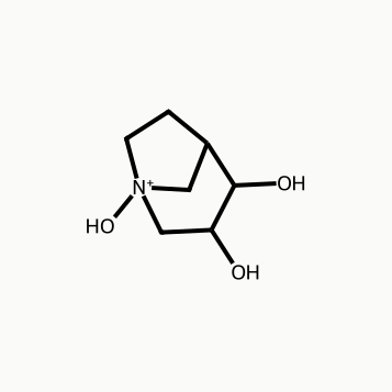 OC1C[N+]2(O)CCC(C2)C1O